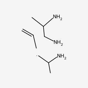 C=CC.CC(N)CN.[CH2]C(C)N